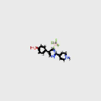 C[n+]1ccc(-c2ncc(-c3ccc(O)cc3)cn2)cc1.F[B-](F)(F)F